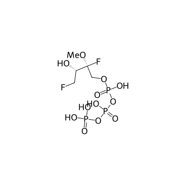 CO[C@](F)(COP(=O)(O)OP(=O)(O)OP(=O)(O)O)[C@@H](O)CF